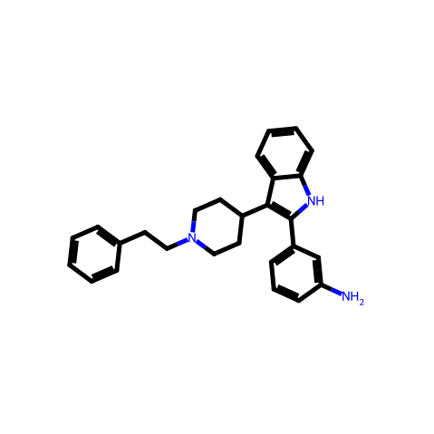 Nc1cccc(-c2[nH]c3ccccc3c2C2CCN(CCc3ccccc3)CC2)c1